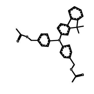 CC(=O)OCc1ccc(N(c2ccc(COC(C)=O)cc2)c2ccc3c(c2)C(C)(C)c2ccccc2-3)cc1